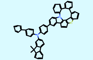 CC1(C)c2ccccc2-c2ccc(N(c3ccc(-c4ccccc4)cc3)c3ccc(-c4ccc5c(c4)c4ccc6sc7cccc8c9ccccc9c9ccccc9n5c4c6c78)cc3)cc21